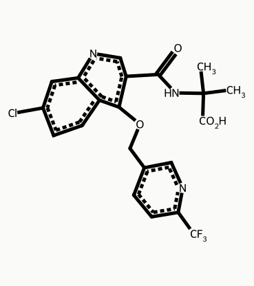 CC(C)(NC(=O)c1cnc2cc(Cl)ccc2c1OCc1ccc(C(F)(F)F)nc1)C(=O)O